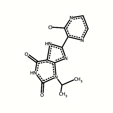 CC(C)n1c(=O)[nH]c(=O)c2[nH]c(-c3nccnc3Cl)nc21